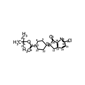 CC(C)(C)OC(=O)N1CCC(N2Cc3ccc(Cl)nc3C2=O)CC1